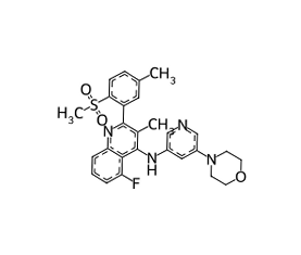 Cc1ccc(S(C)(=O)=O)c(-c2nc3cccc(F)c3c(Nc3cncc(N4CCOCC4)c3)c2C)c1